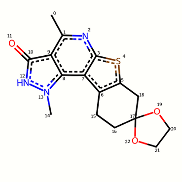 Cc1nc2sc3c(c2c2c1c(=O)[nH]n2C)CCC1(C3)OCCO1